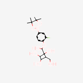 CC1(C)OB(c2ccc(OC(O)C3(O)C(O)C(O)C3CO)c(F)c2)OC1(C)C